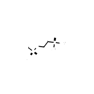 COP(=O)(O)CCOS(C)(=O)=O